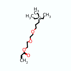 C=CC(=O)OCCOCCOCCC[Si](CC)(CC)CC